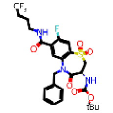 CC(C)(C)OC(=O)N[C@H]1CS(=O)(=O)c2cc(F)c(C(=O)NCCCC(F)(F)F)cc2N(Cc2ccccc2)C1=O